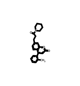 Cc1ccccc1-c1cc(=O)oc2cc(CCC(=O)N3CCCCC3)ccc12